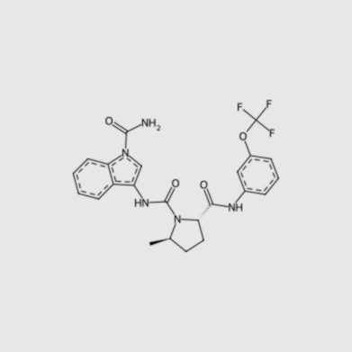 C[C@@H]1CC[C@@H](C(=O)Nc2cccc(OC(F)(F)F)c2)N1C(=O)Nc1cn(C(N)=O)c2ccccc12